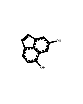 Oc1cc2c3c(ccc(O)c3c1)C=C2